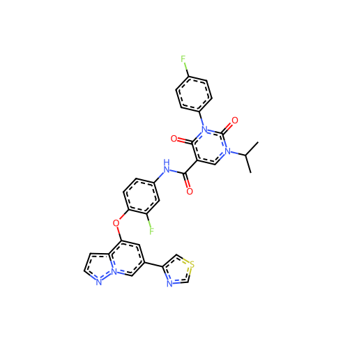 CC(C)n1cc(C(=O)Nc2ccc(Oc3cc(-c4cscn4)cn4nccc34)c(F)c2)c(=O)n(-c2ccc(F)cc2)c1=O